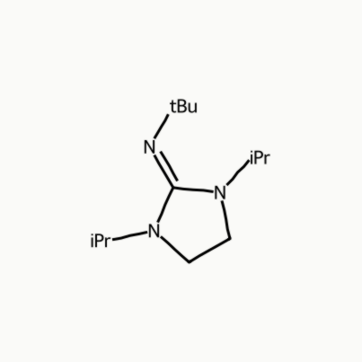 CC(C)N1CCN(C(C)C)C1=NC(C)(C)C